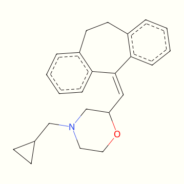 C(=C1c2ccccc2CCc2ccccc21)C1CN(CC2CC2)CCO1